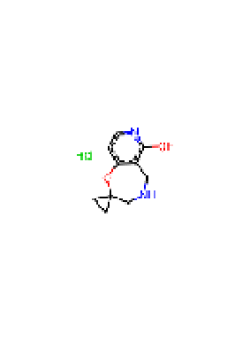 Cl.Oc1nccc2c1CNCC1(CC1)O2